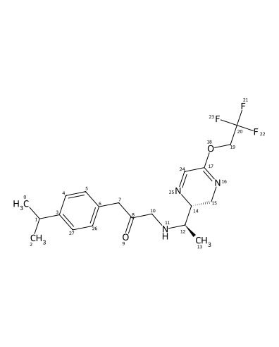 CC(C)c1ccc(CC(=O)CN[C@H](C)[C@H]2CN=C(OCC(F)(F)F)C=N2)cc1